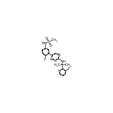 CC(C)(Nc1ncc(-c2cc(NS(C)(=O)=O)ccc2F)nn1)c1ncccc1F